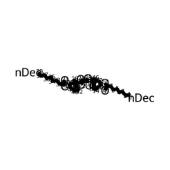 CCCCCCCCCCCCCCCCCC(=O)OC1CC(C)(C)N(OC(=O)C(=O)ON2C(C)(C)CC(OC(=O)CCCCCCCCCCCCCCCCC)CC2(C)C)C(C)(C)C1